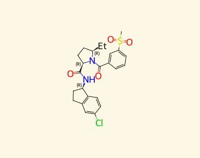 CC[C@@H]1CC[C@H](C(=O)N[C@@H]2CCc3cc(Cl)ccc32)N1C(=O)c1cccc(S(C)(=O)=O)c1